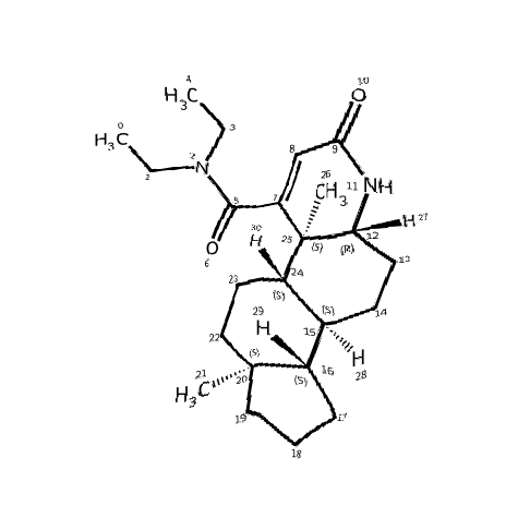 CCN(CC)C(=O)C1=CC(=O)N[C@@H]2CC[C@H]3[C@@H]4CCC[C@@]4(C)CC[C@@H]3[C@@]12C